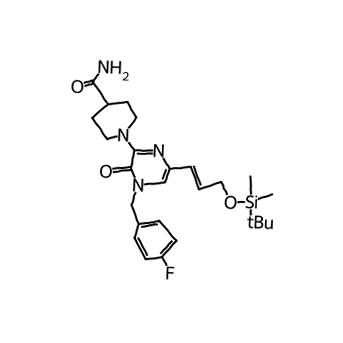 CC(C)(C)[Si](C)(C)OCC=Cc1cn(Cc2ccc(F)cc2)c(=O)c(N2CCC(C(N)=O)CC2)n1